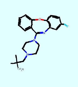 CC(C)(CN1CCN(C2=Nc3cc(F)ccc3Oc3ccccc32)CC1)C(=O)O